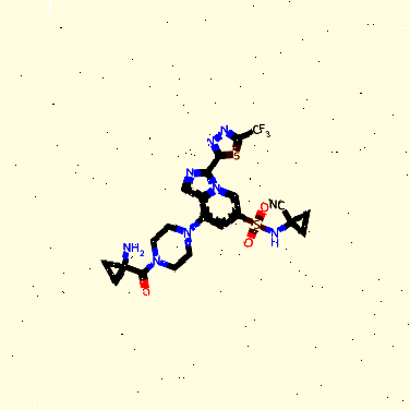 N#CC1(NS(=O)(=O)c2cc(N3CCN(C(=O)C4(N)CC4)CC3)c3cnc(-c4nnc(C(F)(F)F)s4)n3c2)CC1